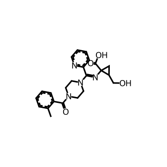 Cc1ccccc1C(=O)N1CCN(/C(=N/C2(C(=O)O)CC2CO)c2ccccn2)CC1